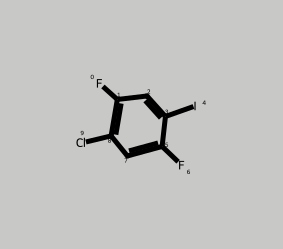 Fc1cc(I)c(F)cc1Cl